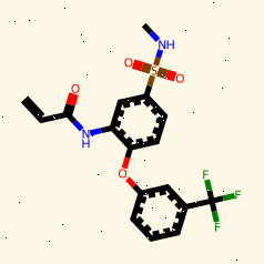 C=CC(=O)Nc1cc(S(=O)(=O)NC)ccc1Oc1cccc(C(F)(F)F)c1